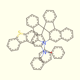 c1ccc(N(c2ccccc2)c2ccc3c(c2)C2(c4ccccc4-3)c3ccccc3-c3c2c(N(c2ccccc2)c2ccc4sc5ccccc5c4c2)cc2ccccc32)cc1